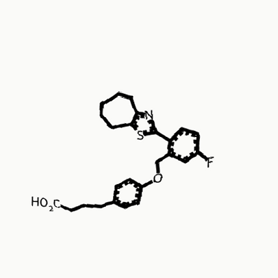 O=C(O)CCCc1ccc(OCc2cc(F)ccc2-c2nc3c(s2)CCCCC3)cc1